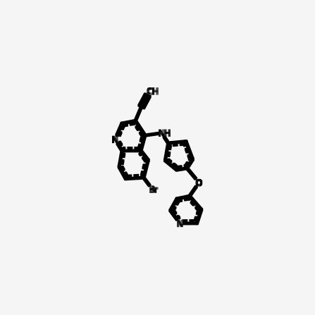 C#Cc1cnc2ccc(Br)cc2c1Nc1ccc(Oc2ccncc2)cc1